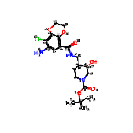 CC(C)(C)OC(=O)N1CC[C@@H](CNC(=O)c2cc(N)c(Cl)c3c2OCCO3)[C@H](O)C1